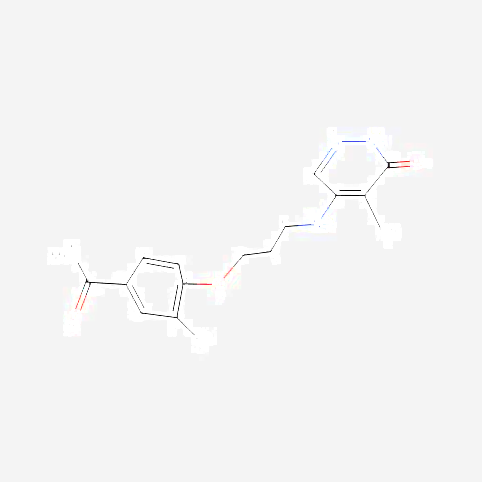 CCCCc1c(NCCCOc2ccc(C(=O)OC)cc2CCC)cn[nH]c1=O